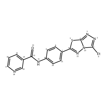 CCc1nnc2sc(-c3ccc(NC(=O)c4cccnc4)cc3)nn12